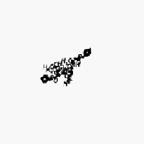 CN(CC(=O)OCc1ccccc1)NC(=O)C[C@H](CCN=[N+]=[N-])NC(=O)[C@H](CCC(=O)OCc1ccccc1)NC(=O)OC(C)(C)C